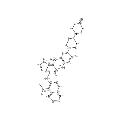 CCN1CCN(C2CCN(c3cc(OC)c(Nc4nc(Nc5ccc6nccnc6c5N(C)C)c5cc[nH]c5n4)cc3C)CC2)CC1